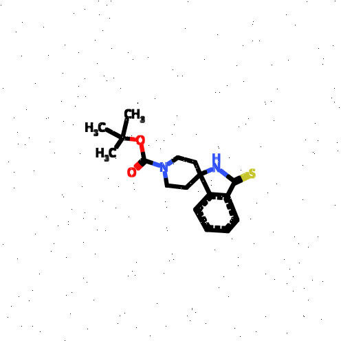 CC(C)(C)OC(=O)N1CCC2(CC1)NC(=S)c1ccccc12